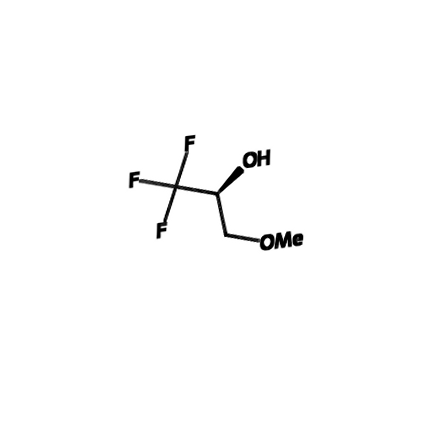 COC[C@H](O)C(F)(F)F